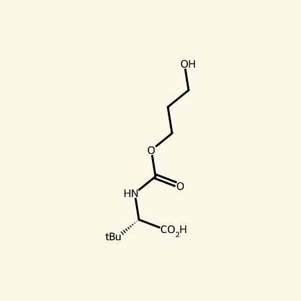 CC(C)(C)[C@H](NC(=O)OCCCO)C(=O)O